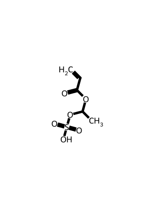 C=CC(=O)OC(C)OS(=O)(=O)O